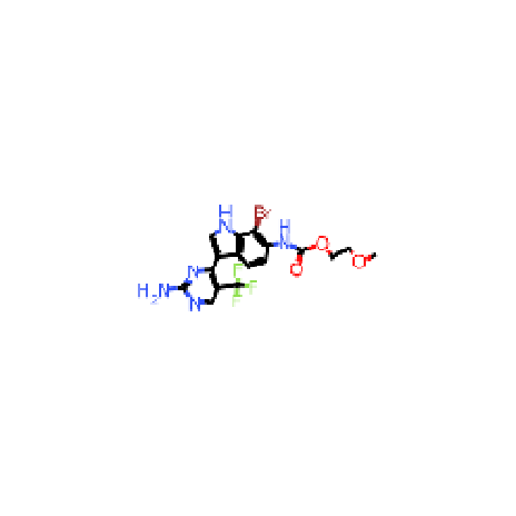 COCCOC(=O)Nc1ccc2c(-c3nc(N)ncc3C(F)(F)F)c[nH]c2c1Br